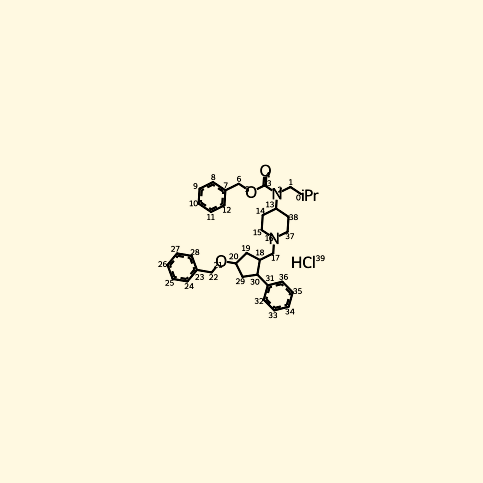 CC(C)CN(C(=O)OCc1ccccc1)C1CCN(CC2CC(OCc3ccccc3)CC2c2ccccc2)CC1.Cl